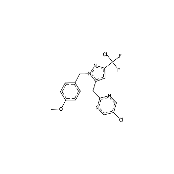 COc1ccc(Cn2nc(C(F)(F)Cl)cc2Cc2ncc(Cl)cn2)cc1